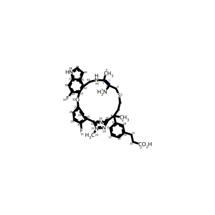 C/C1=C(/N)CSCCC(C)(c2cccc(CCC(=O)O)c2)c2nc(n(C)n2)-c2cc(ccc2F)Oc2c(F)cc3[nH]ccc3c2CN1